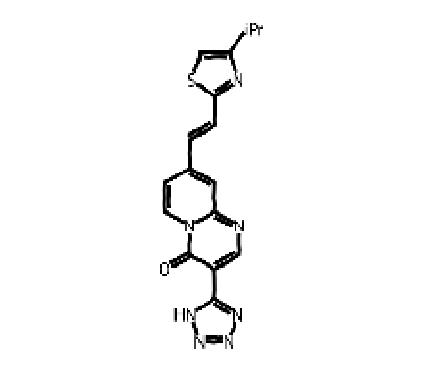 CC(C)c1csc(C=Cc2ccn3c(=O)c(-c4nnn[nH]4)cnc3c2)n1